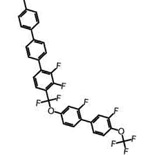 Cc1ccc(-c2ccc(-c3ccc(C(F)(F)Oc4ccc(-c5ccc(OC(F)(F)F)c(F)c5)c(F)c4)c(F)c3F)cc2)cc1